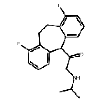 CC(C)NCC(=O)C1c2cccc(F)c2CCc2c(F)cccc21